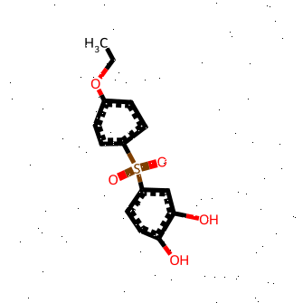 CCOc1ccc(S(=O)(=O)c2ccc(O)c(O)c2)cc1